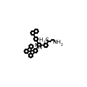 C/C(=C\C=C/N)c1cccc(-c2cc(-c3ccc(-c4cccc5ccccc45)cc3)nc(-c3ccc4c(c3)C3(c5ccccc5-c5ccccc53)c3ccccc3-4)n2)c1